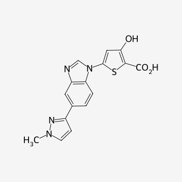 Cn1ccc(-c2ccc3c(c2)ncn3-c2cc(O)c(C(=O)O)s2)n1